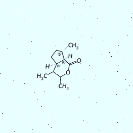 CC1OC(=O)[C@H]2[C@H](CC[C@@H]2C)C1C